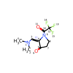 CN(C)/C=C1\C(=O)CCN1C(=O)C(F)(F)F